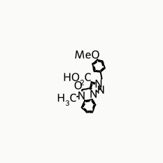 COc1ccc(Cn2nnc(C(=O)N(C)c3ccccc3)c2C(=O)O)cc1